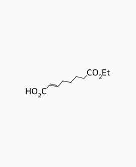 CCOC(=O)CCCC/C=C/C(=O)O